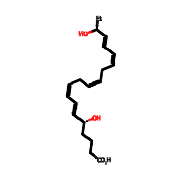 CC[C@H](O)/C=C/C=C\C/C=C\C/C=C\C=C\[C@H](O)CCCC(=O)O